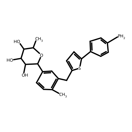 Cc1ccc(C2OC(C)C(O)C(O)C2O)cc1Cc1ccc(-c2ccc(P)cc2)s1